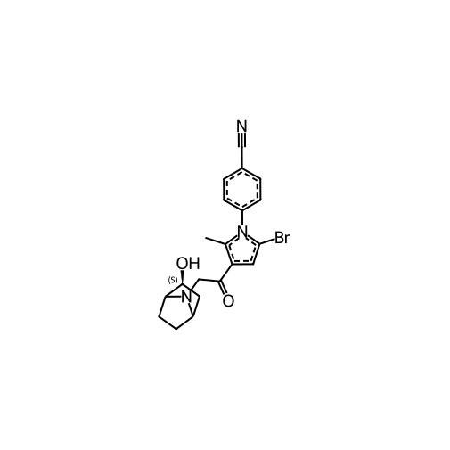 Cc1c(C(=O)CN2C3CCC2[C@@H](O)C3)cc(Br)n1-c1ccc(C#N)cc1